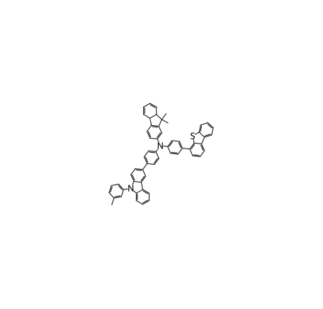 Cc1cccc(-n2c3ccccc3c3cc(-c4ccc(N(c5ccc(-c6cccc7c6sc6ccccc67)cc5)c5ccc6c(c5)C(C)(C)C5C=CC=CC65)cc4)ccc32)c1